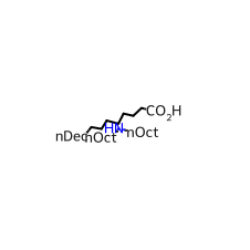 CCCCCCCCCCCCCCCCCC(=O)O.CCCCCCCCNCCCCCCCC